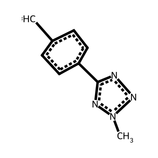 [CH]c1ccc(-c2nnn(C)n2)cc1